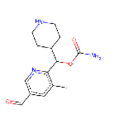 Cc1cc(C=O)cnc1C(OC(N)=O)C1CCNCC1